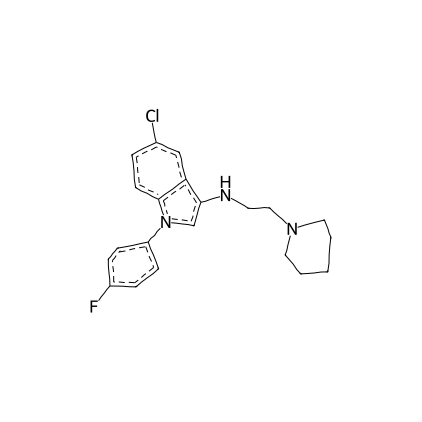 Fc1ccc(-n2cc(NCCN3CCCCC3)c3cc(Cl)ccc32)cc1